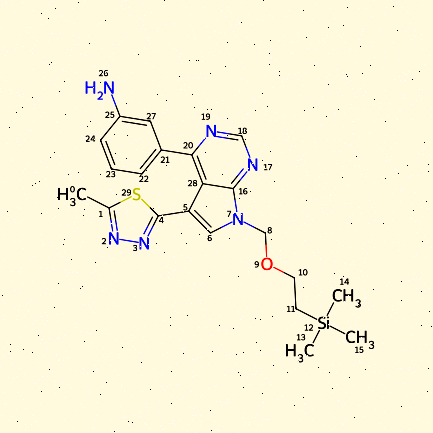 Cc1nnc(-c2cn(COCC[Si](C)(C)C)c3ncnc(-c4cccc(N)c4)c23)s1